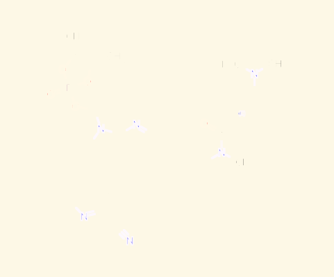 CCOP(=O)(OCC)OCn1cc(-c2ccnc(C#N)c2)c2cc(-c3cccc(N(C)C(=O)/C=C/CN(C)C)c3)cnc21